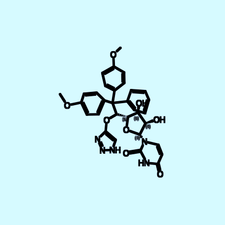 COc1ccc(C(c2ccccc2)(c2ccc(OC)cc2)C(Oc2c[nH]nn2)[C@H]2O[C@@H](n3ccc(=O)[nH]c3=O)[C@H](O)[C@@H]2O)cc1